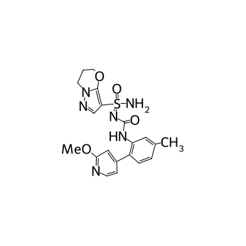 COc1cc(-c2ccc(C)cc2NC(=O)N=S(N)(=O)c2cnn3c2OCCC3)ccn1